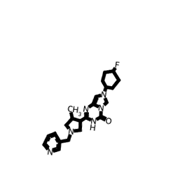 CC1CN(Cc2cccnc2)CC1C1=NC2=CN(C3CCC(F)CC3)CN2C(=O)N1